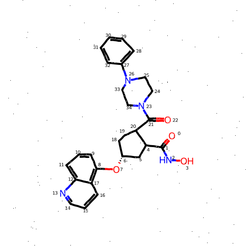 O=C(NO)C1C[C@H](Oc2cccc3ncccc23)CCC1C(=O)N1CCN(c2ccccc2)CC1